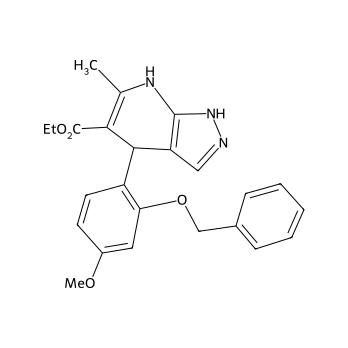 CCOC(=O)C1=C(C)Nc2[nH]ncc2C1c1ccc(OC)cc1OCc1ccccc1